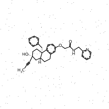 CC#C[C@@]1(O)CC[C@@]2(Cc3ccccc3)c3ccc(OCC(=O)NCc4ccccn4)cc3CC[C@@H]2C1